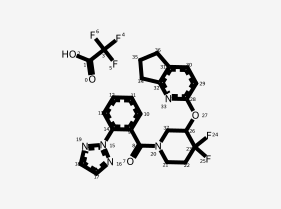 O=C(O)C(F)(F)F.O=C(c1ccccc1-n1nccn1)N1CCC(F)(F)C(Oc2ccc3c(n2)CCC3)C1